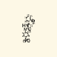 O=[N+]([O-])c1ccc2c(c1)COC(NC1CCOc3ccccc31)=N2